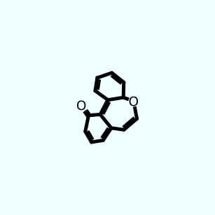 O=C1C=CC=C2C=COC3C=CC=CC3=C12